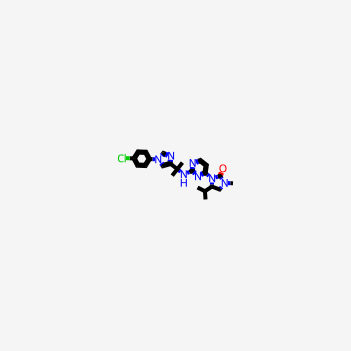 CC(C)C1CN(C)C(=O)N1c1ccnc(NC(C)(C)c2cn(-c3ccc(Cl)cc3)cn2)n1